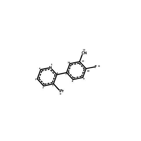 CC(C)c1cccnc1-c1ccc(F)c(C#N)c1